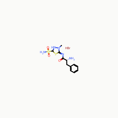 Br.CN1NC(S(N)(=O)=O)SC1=NC(=O)[C@H](N)Cc1ccccc1